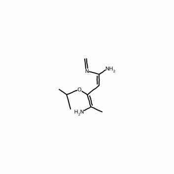 C=N/C(N)=C\C(OC(C)C)=C(/C)N